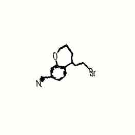 N#Cc1ccc2c(c1)OCCCC2CCBr